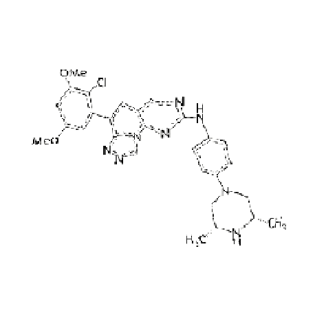 COc1cc(OC)c(Cl)c(-c2cc3cnc(Nc4ccc(N5C[C@@H](C)N[C@@H](C)C5)cc4)nc3n3cnnc23)c1